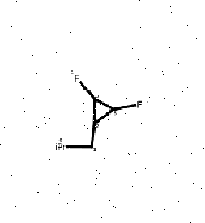 CC(C)CC1C(F)C1F